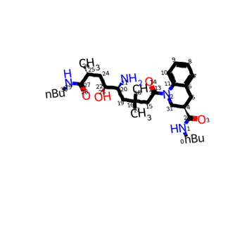 CCCCNC(=O)[C@@H]1Cc2ccccc2N(C(=O)CC(C)(C)C[C@H](N)[C@@H](O)C[C@@H](C)C(=O)NCCCC)C1